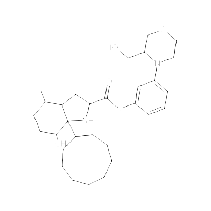 CC1CCC(F)C2CC(C(=O)Nc3cccc(N4CCOCC4CO)c3)NC12C1CCCCCCCC1